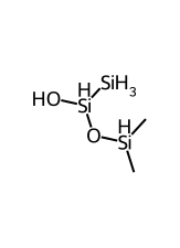 C[SiH](C)O[SiH](O)[SiH3]